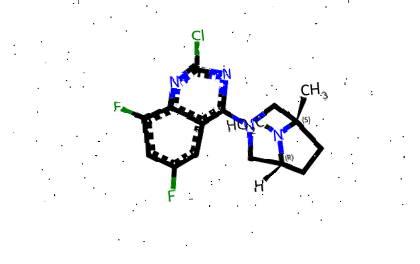 C[C@]12CC[C@H](CN(c3nc(Cl)nc4c(F)cc(F)cc34)C1)N2C(=O)O